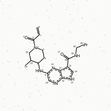 C=CC(=O)N1CCC(Nc2cnc3[nH]cc(C(=O)NCC(C)C)c3n2)C(C)C1